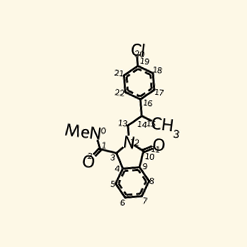 CNC(=O)C1c2ccccc2C(=O)N1CC(C)c1ccc(Cl)cc1